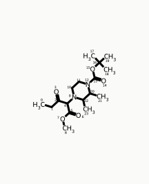 CCC(=O)C(C(=O)OC)N1CCN(C(=O)OC(C)(C)C)C(C)C1C